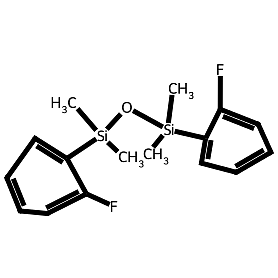 C[Si](C)(O[Si](C)(C)c1ccccc1F)c1ccccc1F